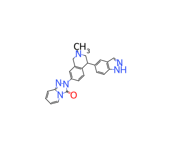 CN1Cc2cc(-n3nc4ccccn4c3=O)ccc2C(c2ccc3[nH]ncc3c2)C1